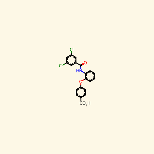 O=C(O)c1ccc(Oc2ccccc2NC(=O)c2cc(Cl)cc(Cl)c2)cc1